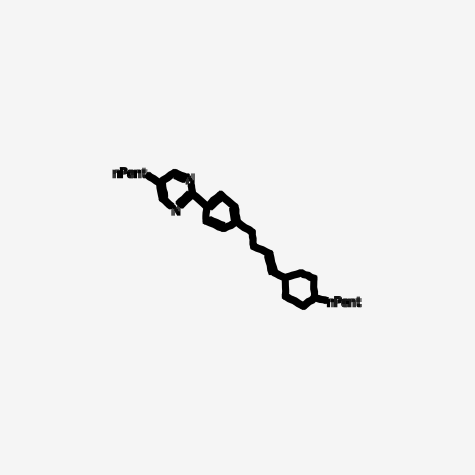 CCCCCc1cnc(-c2ccc(CCC=CC3CCC(CCCCC)CC3)cc2)nc1